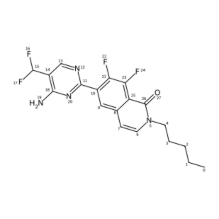 CCCCCn1ccc2cc(-c3ncc(C(F)F)c(N)n3)c(F)c(F)c2c1=O